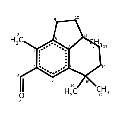 Cc1c(C=O)cc2c3c1CCC3(C)CCC2(C)C